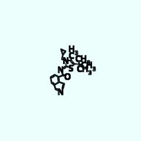 Cc1c(C(C)(C)C)s/c(=N\C(=O)c2cccc3cnccc23)n1CC1CC1